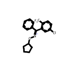 FC(F)(F)c1ccc(Cl)cc1/C(=N/OC1CCCC1)c1ccccc1